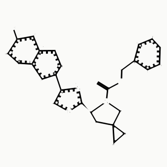 O=C(OCc1ccccc1)N1CC2(CC2)C[C@H]1c1ncc(-c2ccc3cc(Br)ccc3c2)[nH]1